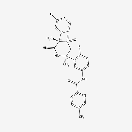 C[C@@]1(c2cc(NC(=O)c3ccc(C(F)(F)F)cn3)ccc2F)CS(=O)(=O)[C@@](C)(c2cccc(F)c2)C(=N)N1